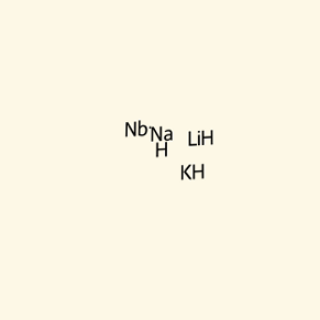 [KH].[LiH].[NaH].[Nb]